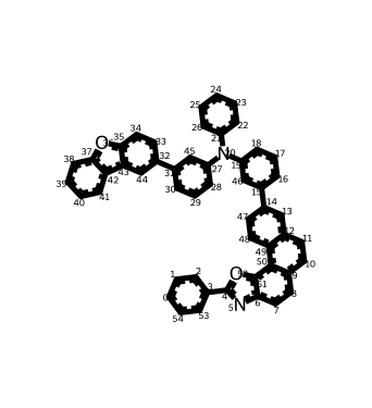 c1ccc(-c2nc3ccc4ccc5cc(-c6cccc(N(c7ccccc7)c7cccc(-c8ccc9oc%10ccccc%10c9c8)c7)c6)ccc5c4c3o2)cc1